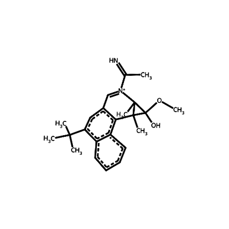 COC1(O)C2(C)c3c(cc(C(C)(C)C)c4ccccc34)C=[N+](C(C)=N)C12C